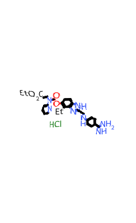 CCOC(=O)CCN(C(=O)Oc1ccc2[nH]c(CNc3ccc(C(=N)N)cc3)nc2c1CC)c1ccccn1.Cl